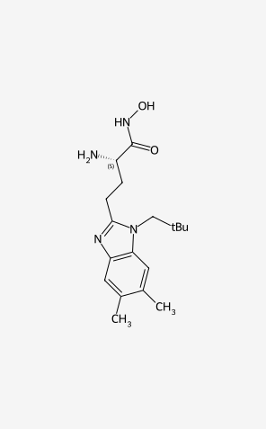 Cc1cc2nc(CC[C@H](N)C(=O)NO)n(CC(C)(C)C)c2cc1C